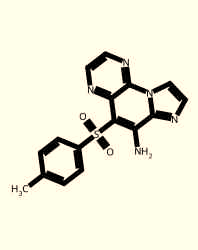 Cc1ccc(S(=O)(=O)c2c(N)c3nccn3c3nccnc23)cc1